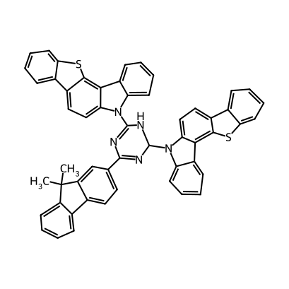 CC1(C)c2ccccc2-c2ccc(C3=NC(n4c5ccccc5c5c6sc7ccccc7c6ccc54)NC(n4c5ccccc5c5c6sc7ccccc7c6ccc54)=N3)cc21